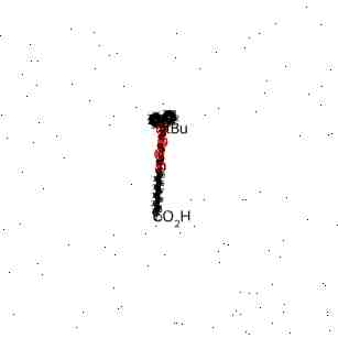 CC(C)(C)[Si](OCCOCCOCCOCCCCCCCCCCCC(=O)O)(c1ccccc1)c1ccccc1